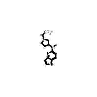 CN(c1ccc2[nH]ccc2n1)C1CCN(CC(=O)O)C1